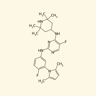 Cc1ccc(C)n1-c1cc(Nc2ncc(F)c(NC3CC(C)(C)NC(C)(C)C3)n2)ccc1F